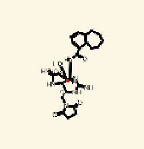 N=C1NC2[C@H](CN3C(=O)CCC3=O)NC(=N)N3CC(NC(=O)c4cccc5c4CCCCC5)C(O)(O)C23N1